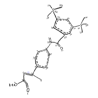 C/C(=C\C(=O)O)c1ccc(NC(=O)c2cc(S(C)(C)C)cc(S(C)(C)C)c2)cc1